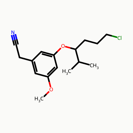 COc1cc(CC#N)cc(OC(CCCCl)C(C)C)c1